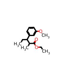 CCOC(=O)C(C)C(CC)c1cccc(OC)c1